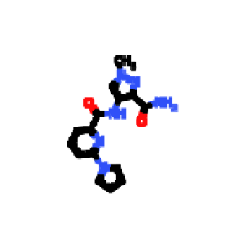 Cn1cc(NC(=O)c2cccc(-n3cccc3)n2)c(C(N)=O)n1